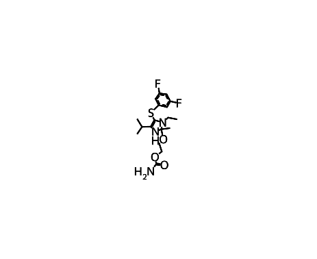 CCN1C(Sc2cc(F)cc(F)c2)=C(C(C)C)NC1(C)OCCOC(N)=O